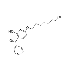 O=C(c1ccccc1)c1ccc(OCCCCCCCO)cc1O